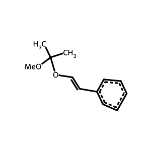 COC(C)(C)OC=Cc1ccccc1